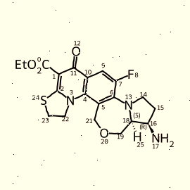 CCOC(=O)c1c2n(c3c4c(c(F)cc3c1=O)N1CC[C@@H](N)[C@H]1COC4)CCS2